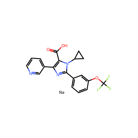 O=C(O)c1c(-c2cccnc2)nc(-c2cccc(OC(F)(F)F)c2)n1C1CC1.[Na]